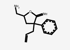 C=CCC1(c2ccccc2)CC(CN)OC1=N